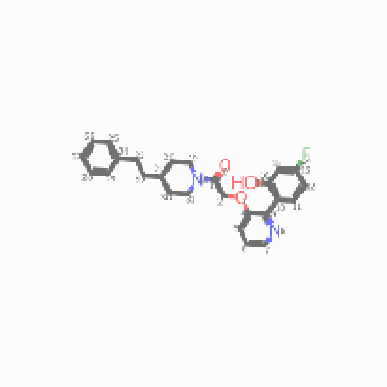 O=C(COc1cccnc1-c1ccc(F)cc1O)N1CCC(CCc2ccccc2)CC1